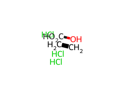 C=C.Cl.Cl.Cl.O=C(O)O